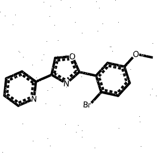 COc1ccc(Br)c(-c2nc(-c3ccccn3)co2)c1